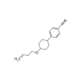 C=CCCOC1CCC(c2ccc(C#N)cc2)CC1